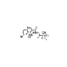 CC(C)Nc1c(C(=O)NC[C@@H](F)C(C)(C)O)cnc2ccc(Br)cc12